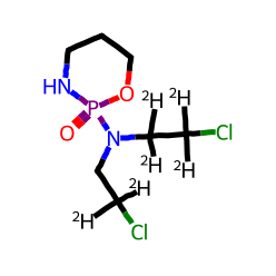 [2H]C([2H])(Cl)CN(C([2H])([2H])C([2H])([2H])Cl)P1(=O)NCCCO1